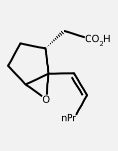 CCC/C=C\C12OC1CC[C@@H]2CC(=O)O